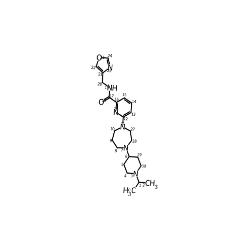 CC(C)N1CCC(N2CCCN(c3cccc(C(=O)NCc4cocn4)n3)CC2)CC1